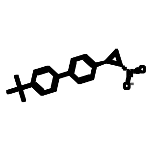 CC(C)(C)c1ccc(-c2ccc([C@H]3C[C@@H]3[N+](=O)[O-])cc2)cc1